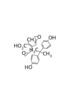 CC(C(=O)O)=C(CC1CO1)CC1CO1.CC(C)(c1ccc(O)cc1)c1ccc(O)cc1